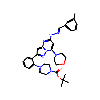 Cc1cccc(/C=N/Nc2cc(N3CCOCC3)n3nc(-c4ccccc4N4CCN(C(=O)OC(C)(C)C)CC4)cc3n2)c1